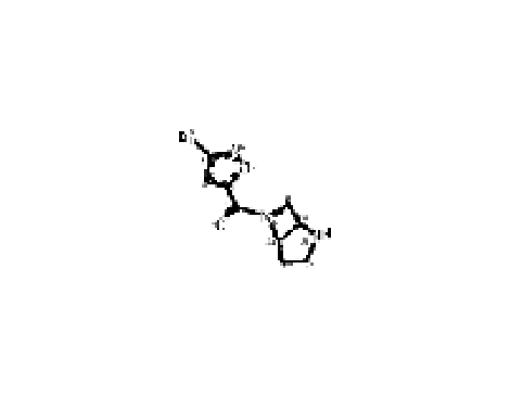 O=C(c1cc(Br)no1)N1CC2NCCC21